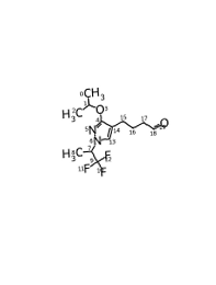 CC(C)Oc1nn(C(C)C(F)(F)F)cc1CCCC=O